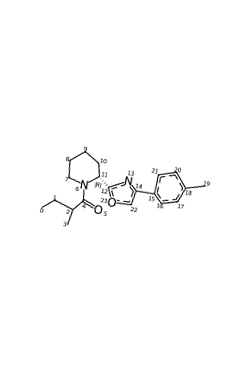 CCC(C)C(=O)N1CCCC[C@@H]1c1nc(-c2ccc(C)cc2)co1